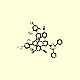 Cc1cc(C)c(-c2ccc3c(c2)c2cc(-c4c(C)cc(C)cc4C)ccc2n3-c2c(-c3ccc(C#N)cc3C#N)cc(-c3nc(-c4ccccc4)nc(-c4ccccc4)n3)cc2-c2ccc(C#N)cc2C#N)c(C)c1